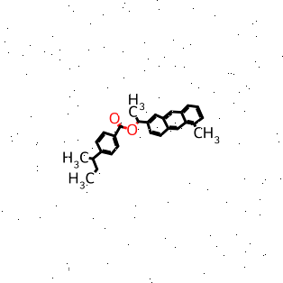 CCC(C)c1ccc(C(=O)OC(C)c2ccc3cc4c(C)cccc4cc3c2)cc1